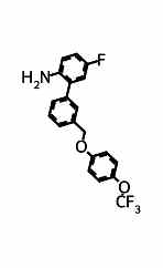 Nc1ccc(F)cc1-c1cccc(COc2ccc(OC(F)(F)F)cc2)c1